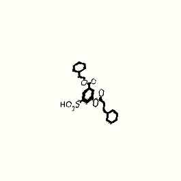 O=C(CCC1CCCCC1)Oc1cc(C(=O)OCCC2CCCCC2)cc(S(=O)(=O)O)c1